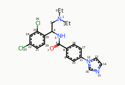 CCN(CC)CC(NC(=O)c1ccc(-n2ccnc2)cc1)c1ccc(Cl)cc1Cl